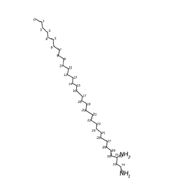 CCCCCCCCCCCCCCCCCCCCCCCCCCCCCCCC(N)CCN